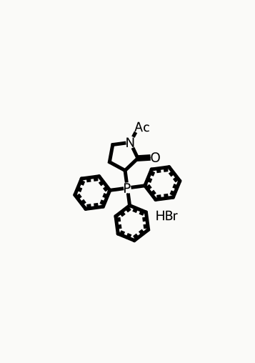 Br.CC(=O)N1CCC([P](c2ccccc2)(c2ccccc2)c2ccccc2)C1=O